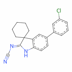 N#CN=C1Nc2ccc(-c3cccc(Cl)c3)cc2C12CCCCC2